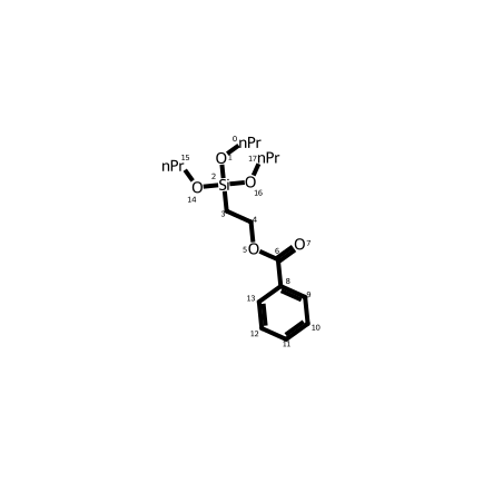 CCCO[Si](CCOC(=O)c1ccccc1)(OCCC)OCCC